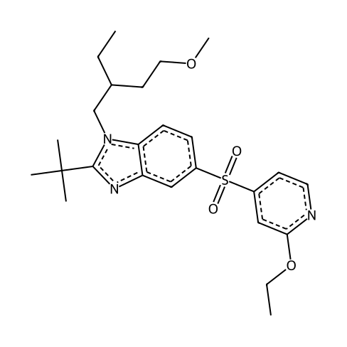 CCOc1cc(S(=O)(=O)c2ccc3c(c2)nc(C(C)(C)C)n3CC(CC)CCOC)ccn1